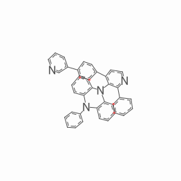 c1ccc(-c2nccc(-c3ccc(-c4cccnc4)cc3)c2N2c3ccccc3N(c3ccccc3)c3ccccc32)cc1